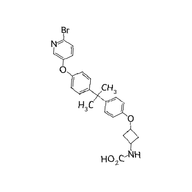 CC(C)(c1ccc(Oc2ccc(Br)nc2)cc1)c1ccc(OC2CC(NC(=O)O)C2)cc1